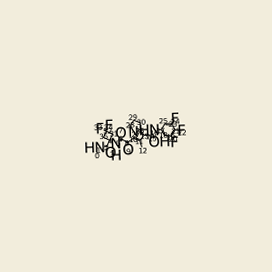 CNC(=O)C1(NC(=O)C(=O)c2c(C)c(C(O)Nc3cc(F)c(F)c(F)c3)c3n2CCC3)CC(F)(F)C1